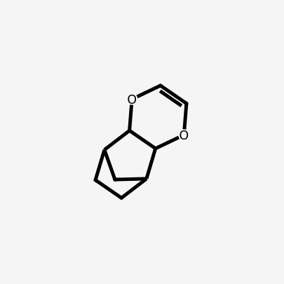 C1=COC2C3CCC(C3)C2O1